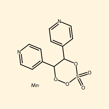 O=S1(=O)OOC(c2ccncc2)C(c2ccncc2)O1.[Mn]